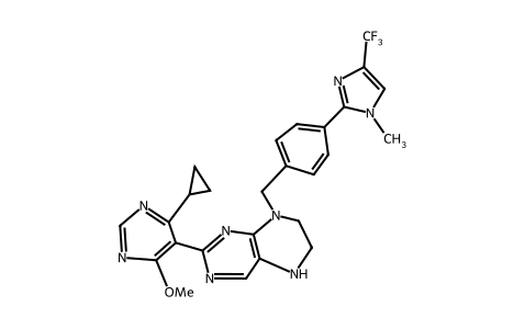 COc1ncnc(C2CC2)c1-c1ncc2c(n1)N(Cc1ccc(-c3nc(C(F)(F)F)cn3C)cc1)CCN2